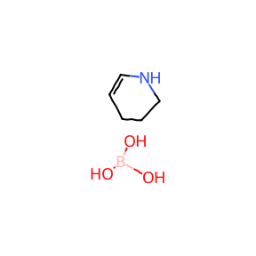 C1=CNCCC1.OB(O)O